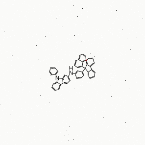 c1ccc(-n2c3ccccc3c3ccc(Nc4cccc(C5(c6cccc7ccccc67)c6ccccc6-c6ccccc65)c4)cc32)cc1